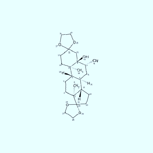 C[C@]12CC[C@H]3[C@@H](C[C@@H](C#N)[C@@]4(O)CC5(CC[C@]34C)OCCO5)[C@@H]1CCC21OCCO1